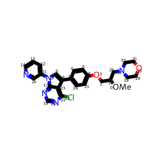 COC(COc1ccc(-c2cn(-c3cccnc3)c3ncnc(Cl)c23)cc1)CN1CCOCC1